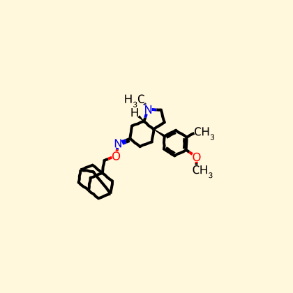 COc1ccc([C@@]23CCC(=NOCC45CC6CC(CC(C6)C4)C5)C[C@@H]2N(C)CC3)cc1C